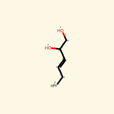 CCCC/C=C/C(O)CO